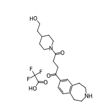 O=C(CCC(=O)N1CCC(CCO)CC1)c1ccc2c(c1)CCNCC2.O=C(O)C(F)(F)F